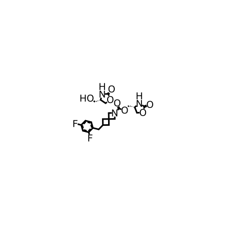 O=C1N[C@@H](CO)CO1.O=C1N[C@@H](COC(=O)N2CC3(CC(Cc4ccc(F)cc4F)C3)C2)CO1